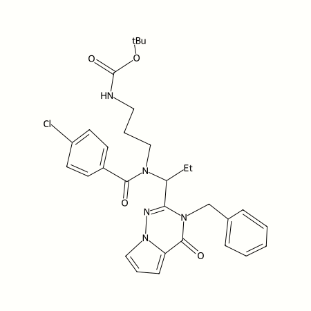 CCC(c1nn2cccc2c(=O)n1Cc1ccccc1)N(CCCNC(=O)OC(C)(C)C)C(=O)c1ccc(Cl)cc1